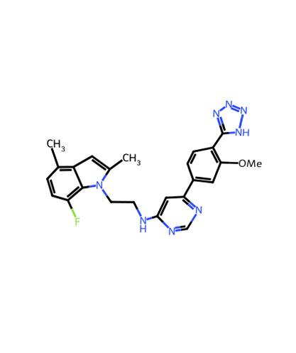 COc1cc(-c2cc(NCCn3c(C)cc4c(C)ccc(F)c43)ncn2)ccc1-c1nnn[nH]1